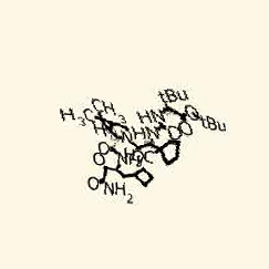 CC(C)(C)OC(=O)[C@@H](NC(=O)N[C@H](C(=O)N1CC2[C@@H]([C@H]1C(=O)NC(CC1CCC1)C(=O)C(N)=O)C2(C)C)C1(C)CCCC1)C(C)(C)C